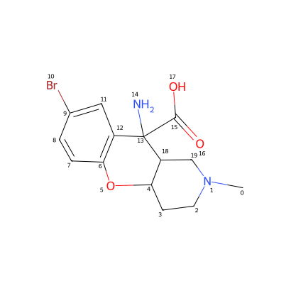 CN1CCC2Oc3ccc(Br)cc3C(N)(C(=O)O)C2C1